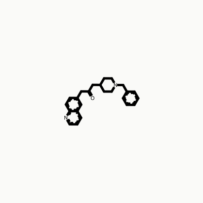 O=C(Cc1ccc2ncccc2c1)CC1CCN(Cc2ccccc2)CC1